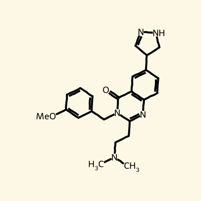 COc1cccc(Cn2c(CCN(C)C)nc3ccc(C4C=NNC4)cc3c2=O)c1